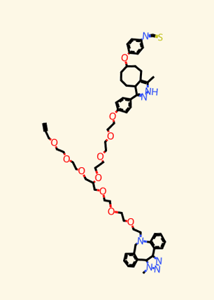 C#CCOCCOCCOCC(COCCOCCOCCN1Cc2ccccc2C2C(N=NN2C)c2ccccc21)OCCOCCOCCOc1ccc(C2=NNC(C)=C3CCC(Oc4ccc(N=C=S)cc4)CCCC23)cc1